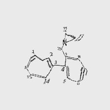 c1ccc(-c2ccccc2CN2CC2)cc1